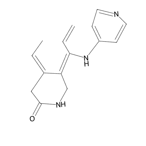 C=C/C(Nc1ccncc1)=C1/CNC(=O)C/C1=C/C